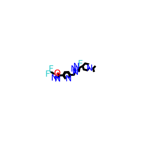 CC(C)N1CCC(F)(c2cn(Cc3ccc(-c4nnc(C(F)F)o4)cn3)nn2)CC1